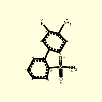 Nc1ccc(-c2ccccc2S(N)(=O)=O)cc1F